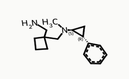 CN(CC1(CN)CCC1)[C@H]1C[C@@H]1c1ccccc1